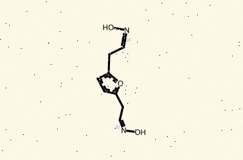 O/N=C\Cc1ccc(C/C=N\O)o1